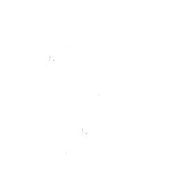 CCS(=O)(=O)Nc1ccc(Oc2c(C)cccc2C)c(-c2cn(C)c(=O)c3sccc23)c1